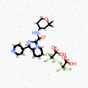 CC1(C)CC(NC(=O)c2nc(-c3ccncc3)c3ccccn23)CCO1.O=C(O)C(F)(F)F.O=C(O)C(F)(F)F